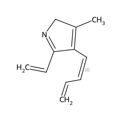 C=C/C=C\C1=C(C)CN=C1C=C